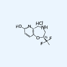 CC(F)(F)[C@@H]1CNCc2nc(O)ccc2O1.Cl